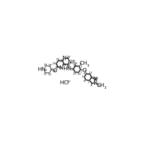 Cc1c(Oc2ccc3cn(C)nc3c2)ccc(Nc2ncnc3ccc(OC4CCNCC4)nc23)c1F.Cl